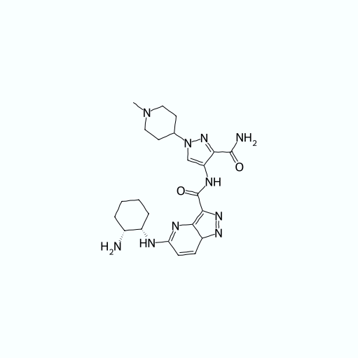 CN1CCC(n2cc(NC(=O)C3=C4N=C(N[C@H]5CCCC[C@H]5N)C=CC4N=N3)c(C(N)=O)n2)CC1